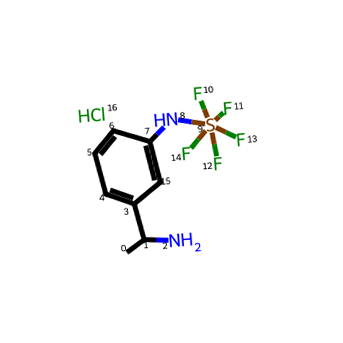 CC(N)c1cccc(NS(F)(F)(F)(F)F)c1.Cl